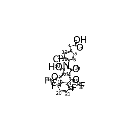 O=C(O)Cc1ccc(N2C(=O)c3c(c(OC(F)F)c4ccccc4c3OC(F)F)C2O)c(Cl)c1